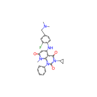 CN(C)Cc1ccc(Nc2cc(=O)n(C)c3c2c(=O)n(C2CC2)c(=O)n3-c2ccccc2)c(F)c1